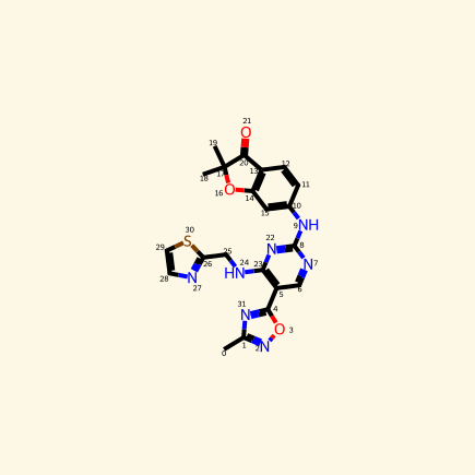 Cc1noc(-c2cnc(Nc3ccc4c(c3)OC(C)(C)C4=O)nc2NCc2nccs2)n1